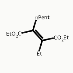 CCCCCC(C(=O)OCC)=C(CC)C(=O)OCC